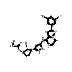 CC(C)NC(=O)O[C@@H]1CC[C@H](c2cc(Nc3nccn4nc(-c5cc(F)cc(F)c5)cc34)n[nH]2)[C@@H]1F